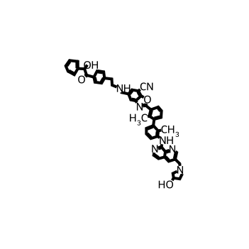 Cc1c(Nc2nccc3cc(CN4CCC(O)C4)cnc23)cccc1-c1cccc(-c2nc3cc(CNCCc4ccc(C(=O)C(O)c5ccccc5)cc4)cc(C#N)c3o2)c1C